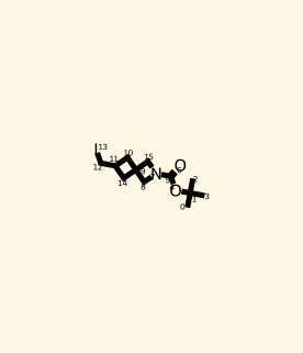 CC(C)(C)OC(=O)N1CC2(CC(CI)C2)C1